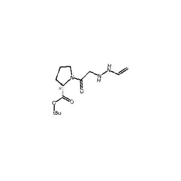 C=CNNCC(=O)N1CCC[C@H]1C(=O)OC(C)(C)C